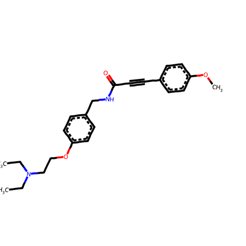 CCN(CC)CCOc1ccc(CNC(=O)C#Cc2ccc(OC)cc2)cc1